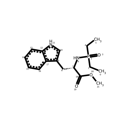 CCP(=O)(CC)N[C@@H](Cc1c[nH]c2ccccc12)C(=O)OC